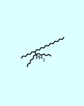 CCCCCCCCCCCCCC(CCCCCC)C(P)(CCCCCC)CCCCCC